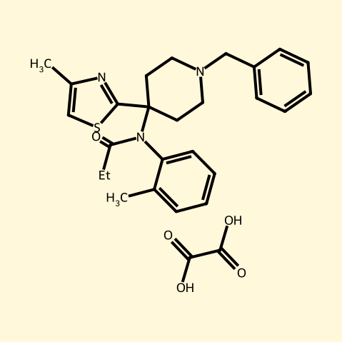 CCC(=O)N(c1ccccc1C)C1(c2nc(C)cs2)CCN(Cc2ccccc2)CC1.O=C(O)C(=O)O